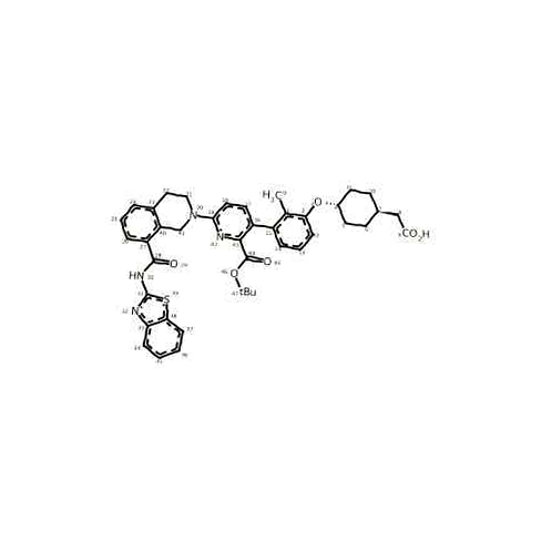 Cc1c(O[C@H]2CC[C@H](CC(=O)O)CC2)cccc1-c1ccc(N2CCc3cccc(C(=O)Nc4nc5ccccc5s4)c3C2)nc1C(=O)OC(C)(C)C